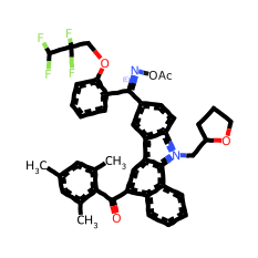 CC(=O)O/N=C(\c1ccc2c(c1)c1cc(C(=O)c3c(C)cc(C)cc3C)c3ccccc3c1n2CC1CCCO1)c1ccccc1OCC(F)(F)C(F)F